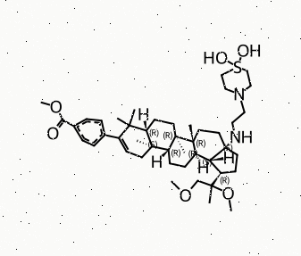 COCC(C)(OC)[C@@H]1CC[C@]2(NCCN3CCS(O)(O)CC3)CC[C@]3(C)[C@H](CC[C@@H]4[C@@]5(C)CC=C(c6ccc(C(=O)OC)cc6)C(C)(C)[C@@H]5CC[C@]43C)[C@@H]12